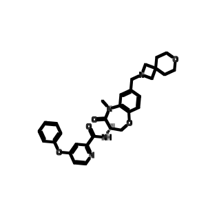 CN1C(=O)[C@@H](NC(=O)c2cc(Oc3ccccc3)ccn2)COc2ccc(CN3CC4(CCOCC4)C3)cc21